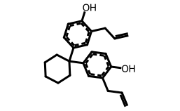 C=CCc1cc(C2(c3ccc(O)c(CC=C)c3)CCCCC2)ccc1O